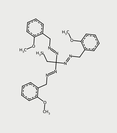 COc1ccccc1CN=NC(C[SiH3])(N=NCc1ccccc1OC)N=NCc1ccccc1OC